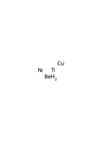 [BeH2].[Cu].[Ni].[Ti]